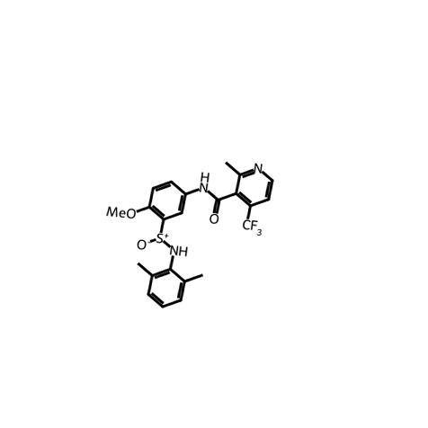 COc1ccc(NC(=O)c2c(C(F)(F)F)ccnc2C)cc1[S+]([O-])Nc1c(C)cccc1C